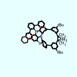 CC(C)(C)c1cc2cc(c1)C(C)(C)C(C)(C)c1cc(cc(C(C)(C)C)c1)-c1ccc3c(c1)B1c4cc-2ccc4Sc2cc(C4CCCCC4)cc(c21)N3c1c(-c2ccccc2)cccc1-c1ccccc1